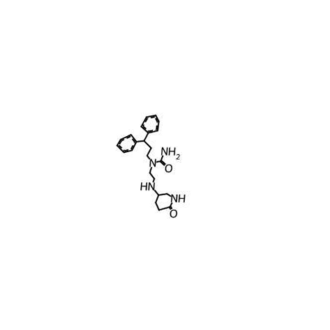 NC(=O)N(CCNC1CCC(=O)NC1)CCC(c1ccccc1)c1ccccc1